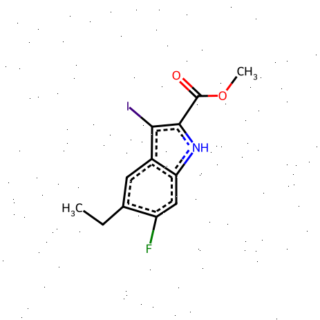 CCc1cc2c(I)c(C(=O)OC)[nH]c2cc1F